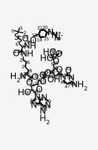 CC(C)(C)SSCC(NC(=O)OCc1ccc(N=[N+]=[N-])cc1)C(=O)NCCCC[C@@H](N)C(=O)OC1C(COP(=O)(O)O[C@H]2C[C@H](n3ccc(N)nc3=O)O[C@@H]2COP(=O)(O)O)OC(n2cnc3c(N)ncnc32)C1O